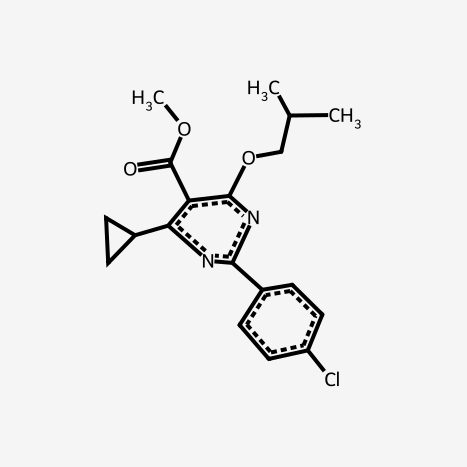 COC(=O)c1c(OCC(C)C)nc(-c2ccc(Cl)cc2)nc1C1CC1